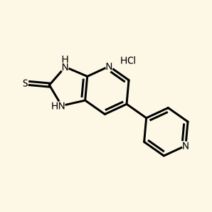 Cl.S=c1[nH]c2cc(-c3ccncc3)cnc2[nH]1